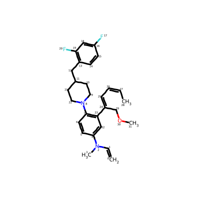 C=CN(C)c1ccc(N2CCC(Cc3ccc(F)cc3F)CC2)c(/C(=C/C=C\C)COC)c1